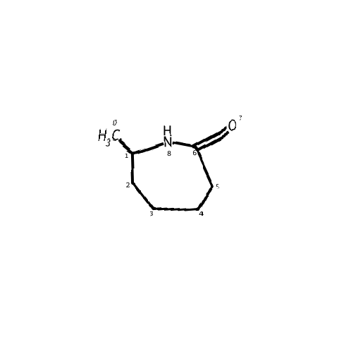 CC1CCCCC(=O)N1